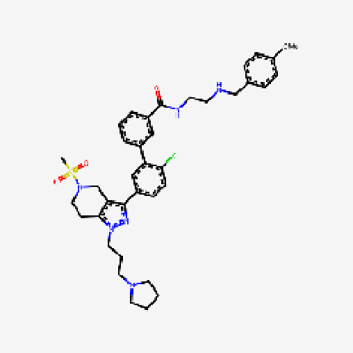 COc1ccc(CNCCNC(=O)c2cccc(-c3cc(-c4nn(CCCN5CCCC5)c5c4CN(S(C)(=O)=O)CC5)ccc3Cl)c2)cc1